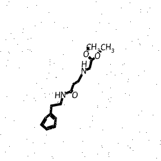 COC(CNCCC(=O)NCCc1ccccc1)OC